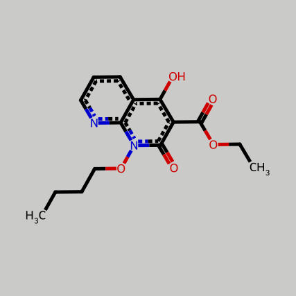 CCCCOn1c(=O)c(C(=O)OCC)c(O)c2cccnc21